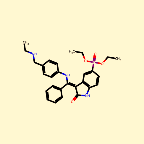 CCNCc1ccc(NC(=C2C(=O)Nc3ccc(P(=O)(OCC)OCC)cc32)c2ccccc2)cc1